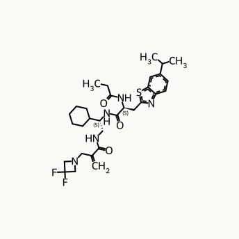 C=C(CN1CC(F)(F)C1)C(=O)NC[C@@H](NC(=O)[C@H](Cc1nc2ccc(C(C)C)cc2s1)NC(=O)CC)C1CCCCC1